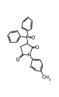 Cc1ccc(N2C(=O)CC(P(=O)(c3ccccc3)c3ccccc3)C2=O)cc1